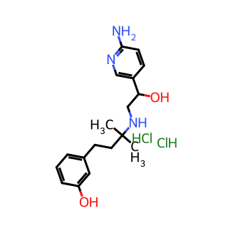 CC(C)(CCc1cccc(O)c1)NCC(O)c1ccc(N)nc1.Cl.Cl